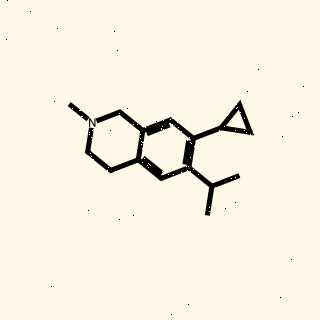 CC(C)c1cc2c(cc1C1CC1)CN(C)CC2